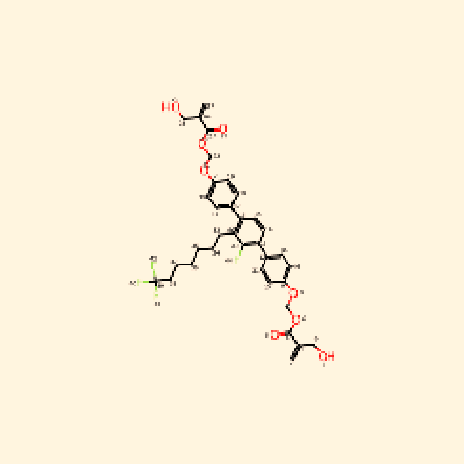 C=C(CO)C(=O)OCOc1ccc(-c2ccc(-c3ccc(OCOC(=O)C(=C)CO)cc3)c(CCCCCCC(F)(F)F)c2F)cc1